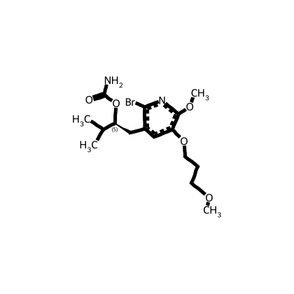 COCCCOc1cc(C[C@H](OC(N)=O)C(C)C)c(Br)nc1OC